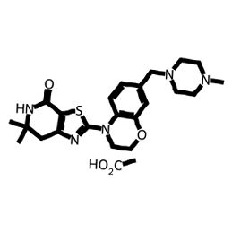 CC(=O)O.CN1CCN(Cc2ccc3c(c2)OCCN3c2nc3c(s2)C(=O)NC(C)(C)C3)CC1